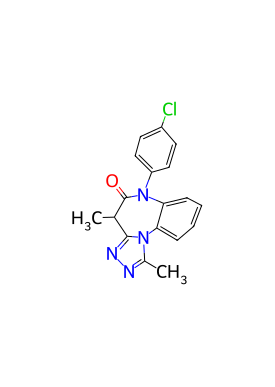 Cc1nnc2n1-c1ccccc1N(c1ccc(Cl)cc1)C(=O)C2C